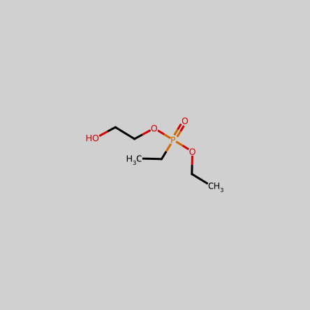 CCOP(=O)(CC)OCCO